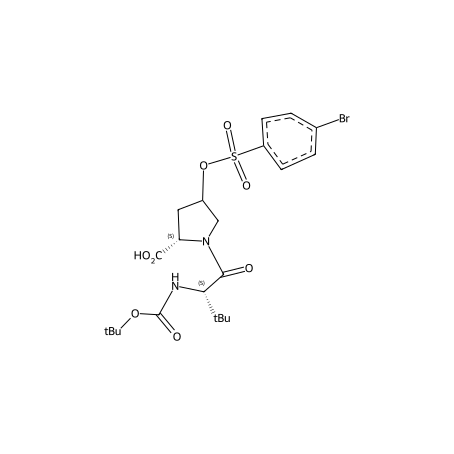 CC(C)(C)OC(=O)N[C@H](C(=O)N1CC(OS(=O)(=O)c2ccc(Br)cc2)C[C@H]1C(=O)O)C(C)(C)C